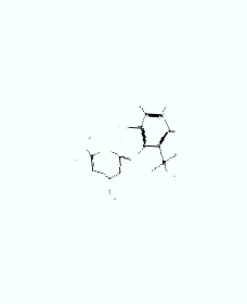 [2H]O[C@@]1([2H])O[C@@]([2H])(Oc2c([2H])c([2H])c([2H])c([2H])c2C([2H])([2H])O)[C@H](O)[C@@H](O)[C@@H]1O